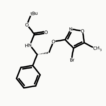 Cc1onc(OC[C@@H](NC(=O)OC(C)(C)C)c2ccccc2)c1Br